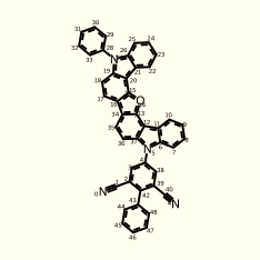 N#Cc1cc(-n2c3ccccc3c3c4oc5c(ccc6c5c5ccccc5n6-c5ccccc5)c4ccc32)cc(C#N)c1-c1ccccc1